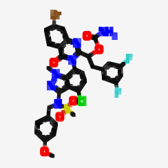 COc1ccc(CN(c2nn(C)c3c(-n4c(C(Cc5cc(F)cc(F)c5)OC(N)=O)nc5cc(Br)ccc5c4=O)ccc(Cl)c23)S(C)(=O)=O)cc1